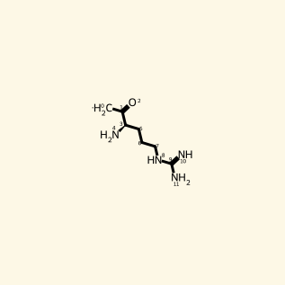 [CH2]C(=O)[C@H](N)CCCNC(=N)N